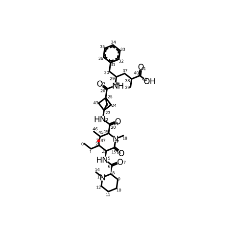 CCC(C)C(NC(=O)[C@H]1CCCCN1C)C(=O)N(C)C(C(=O)NC12CC(C(=O)NC(Cc3ccccc3)CC(C)C(=O)O)(C1)C2)C(C)C